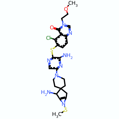 COCCn1cnc2ccc(Sc3ncc(N4CCC5(CC4)CC4=C(C5N)N4SC)nc3N)c(Cl)c2c1=O